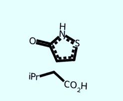 CC(C)CC(=O)O.O=c1ccs[nH]1